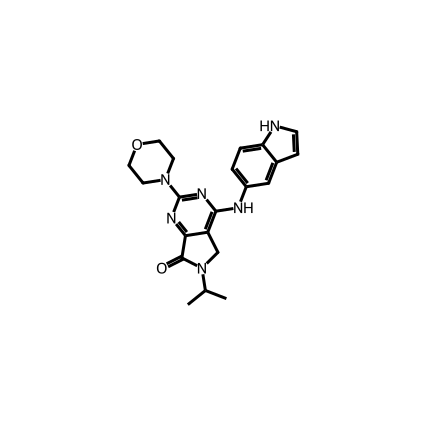 CC(C)N1Cc2c(Nc3ccc4[nH]ccc4c3)nc(N3CCOCC3)nc2C1=O